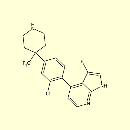 Fc1c[nH]c2nccc(-c3ccc(C4(C(F)(F)F)CCNCC4)cc3Cl)c12